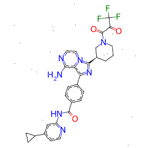 Nc1nccn2c([C@@H]3CCCN(C(=O)C(=O)C(F)(F)F)C3)nc(-c3ccc(C(=O)Nc4cc(C5CC5)ccn4)cc3)c12